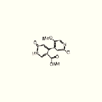 COC(=O)c1c[nH]c(=O)cc1-c1cc(Cl)ncc1OC